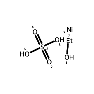 CCO.O=S(=O)(O)O.[Ni]